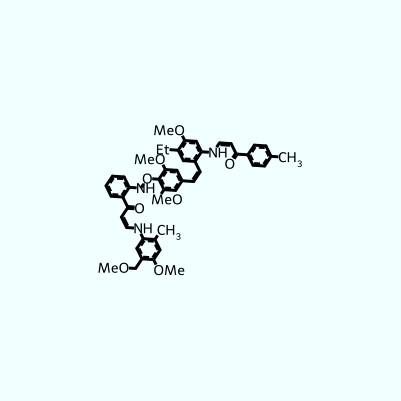 CCc1cc(/C=C\c2cc(OC)c(ONc3ccccc3C(=O)/C=C\Nc3cc(COC)c(OC)cc3C)c(OC)c2)c(N/C=C\C(=O)c2ccc(C)cc2)cc1OC